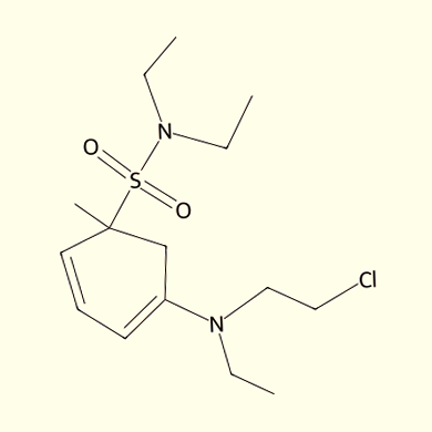 CCN(CCCl)C1=CC=CC(C)(S(=O)(=O)N(CC)CC)C1